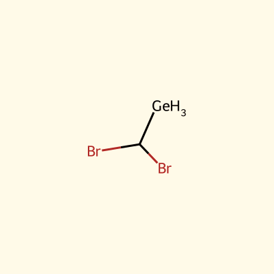 [GeH3][CH](Br)Br